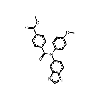 COC(=O)c1ccc(C(=O)N(c2ccc(OC)cc2)c2ccc3[nH]cnc3c2)cc1